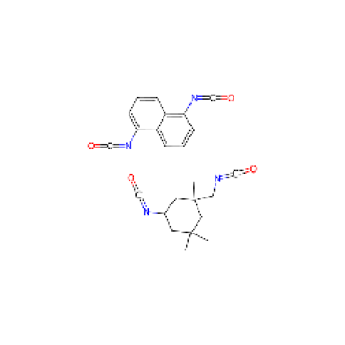 CC1(C)CC(N=C=O)CC(C)(CN=C=O)C1.O=C=Nc1cccc2c(N=C=O)cccc12